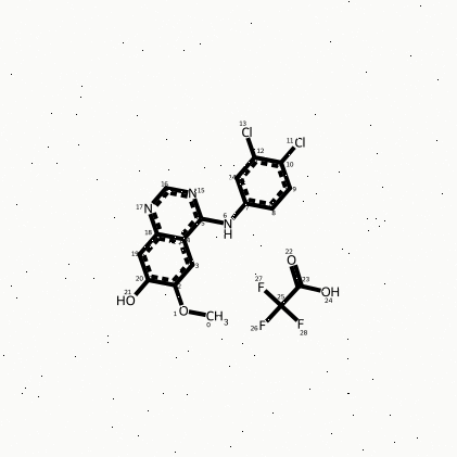 COc1cc2c(Nc3ccc(Cl)c(Cl)c3)ncnc2cc1O.O=C(O)C(F)(F)F